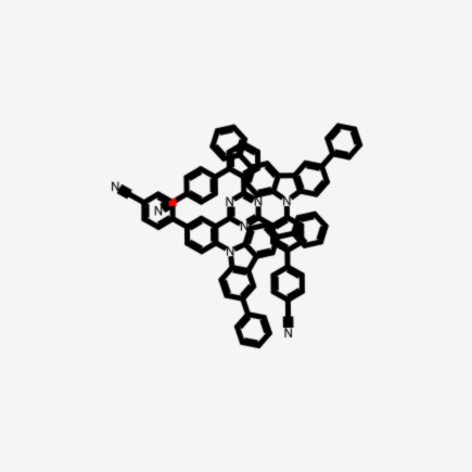 N#Cc1ccc(-c2ccc(-n3c4ccc(-c5ccccc5)cc4c4cc(-c5ccccc5)ccc43)c(-c3nc(-c4ccccc4-c4ccc(C#N)cc4)nc(-c4cc(-c5ccc(C#N)cc5)ccc4-n4c5ccc(-c6ccccc6)cc5c5cc(-c6ccccc6)ccc54)n3)c2)cc1